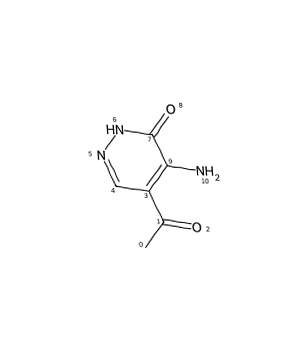 CC(=O)c1cn[nH]c(=O)c1N